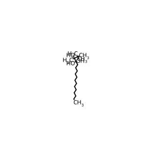 CCCCCCCCCCCCCC(O)(O)C(C)(O)C(C)(C)C